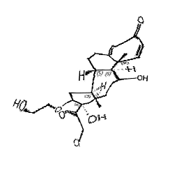 C[C@]12C=CC(=O)C=C1CC[C@@H]1[C@@H]2C(O)C[C@@]2(C)[C@H]1CC(OCCO)[C@]2(O)C(=O)CCl